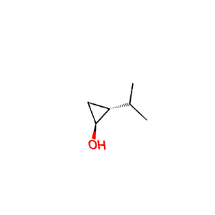 CC(C)[C@H]1C[C@@H]1O